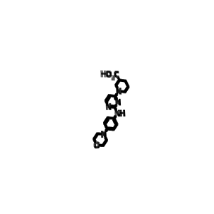 O=C(O)[C@H]1CCCN(c2ccnc(Nc3ccc(N4CCOCC4)cc3)n2)C1